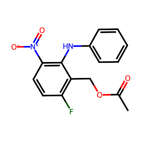 CC(=O)OCc1c(F)ccc([N+](=O)[O-])c1Nc1ccccc1